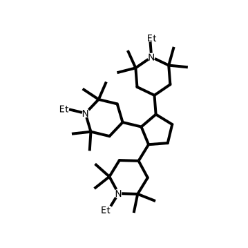 CCN1C(C)(C)CC(C2CCC(C3CC(C)(C)N(CC)C(C)(C)C3)C2C2CC(C)(C)N(CC)C(C)(C)C2)CC1(C)C